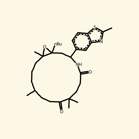 CCCCC12CC(c3ccc4sc(C)nc4c3)NC(=O)CCC(C)(C)C(=O)CCC(C)CCCC1(C)O2